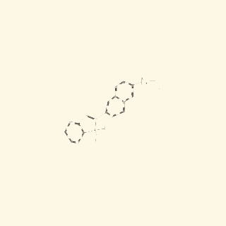 CC1(C)C(c2ccc3cc(N)ccc3c2)=Cc2ccccc21